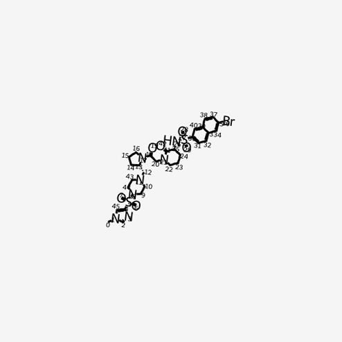 Cn1cnc(S(=O)(=O)N2CCN(C[C@@H]3CCCN3C(=O)CN3CCC[C@H](NS(=O)(=O)c4ccc5cc(Br)ccc5c4)C3=O)CC2)c1